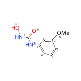 COc1cccc(NC(=O)NO)c1